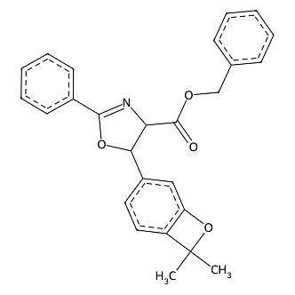 CC1(C)Oc2cc(C3OC(c4ccccc4)=NC3C(=O)OCc3ccccc3)ccc21